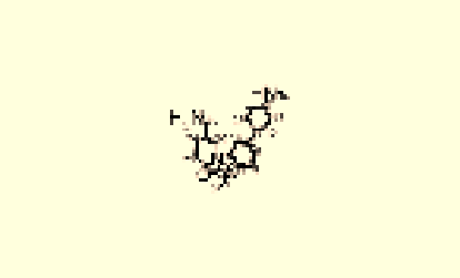 CCS(=O)(=O)[N+]1(c2cccc(-c3ccc(NC)cc3)c2)C=C(CN)C=CC1